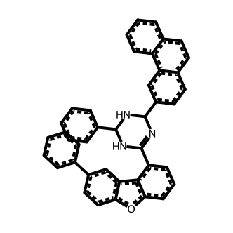 c1ccc(-c2ccc3oc4cccc(C5=NC(c6ccc7ccc8ccccc8c7c6)NC(c6ccccc6)N5)c4c3c2)cc1